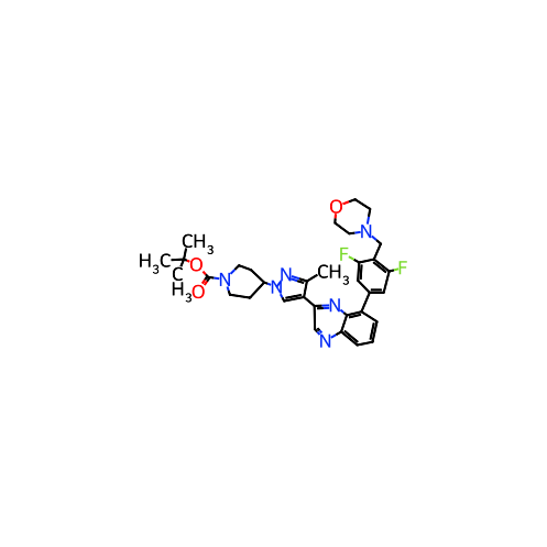 Cc1nn(C2CCN(C(=O)OC(C)(C)C)CC2)cc1-c1cnc2cccc(-c3cc(F)c(CN4CCOCC4)c(F)c3)c2n1